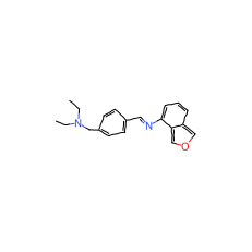 CCN(CC)Cc1ccc(C=Nc2cccc3cocc23)cc1